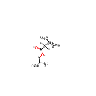 CCCCC(CC)COC(=O)C(C)(C)[SiH](OC)OC